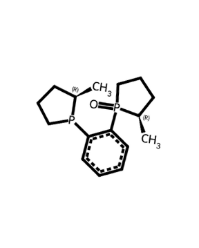 C[C@@H]1CCCP1c1ccccc1P1(=O)CCC[C@H]1C